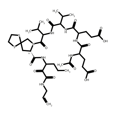 C=CCNC(=O)C(=O)C(CCC)NC(=O)[C@@H]1CC2(CN1C(=O)C(NC(=O)C(NC(=O)C(CCC(=O)O)NC(=O)C(CCC(=O)O)NC(C)=O)C(C)C)C(C)C)SCCS2